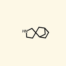 C1CC2(CN1)CC1CCC2C1